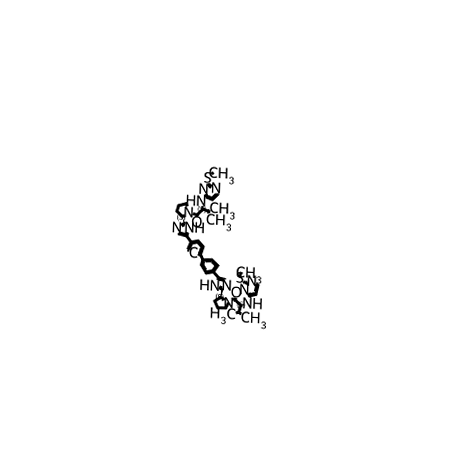 CSc1nccc(N[C@H](C(=O)N2CCC[C@H]2c2ncc(-c3ccc(-c4ccc(-c5cnc([C@@H]6CCCN6C(=O)[C@@H](Nc6ccnc(SC)n6)C(C)C)[nH]5)cc4)cc3)[nH]2)C(C)C)n1